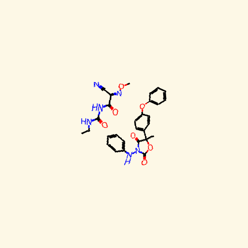 CC1(c2ccc(Oc3ccccc3)cc2)OC(=O)N(Nc2ccccc2)C1=O.CCNC(=O)NC(=O)/C(C#N)=N/OC